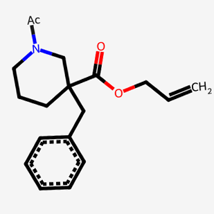 C=CCOC(=O)C1(Cc2ccccc2)CCCN(C(C)=O)C1